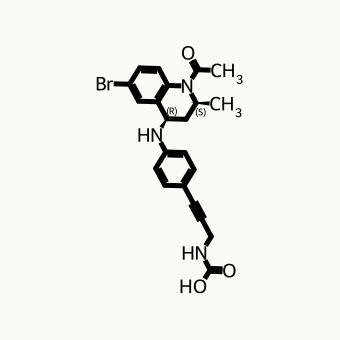 CC(=O)N1c2ccc(Br)cc2[C@H](Nc2ccc(C#CCNC(=O)O)cc2)C[C@@H]1C